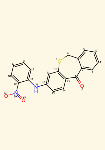 O=C1c2ccccc2CSc2cc(Nc3ccccc3[N+](=O)[O-])ccc21